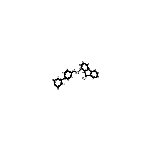 O=C1c2ccccc2-c2cccc(OCc3ccc(-c4ccccc4)cc3)c21